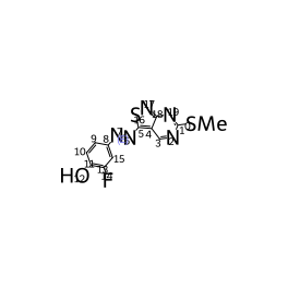 CSc1ncc2c(/N=N/c3ccc(O)c(F)c3)snc2n1